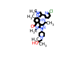 Cc1ccc2c(c1)c(=O)n(C)c1c2c(C(C)Nc2ccc(Cl)nc2-c2cnn(C)c2)nn1C1CCN(CC(C)(C)O)CC1